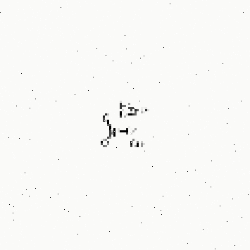 O=[N+]([O-])[O-].[Cu].[OH-].[Zn+2]